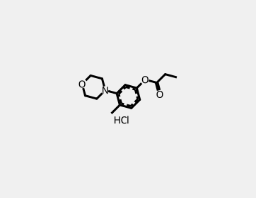 CCC(=O)Oc1ccc(C)c(N2CCOCC2)c1.Cl